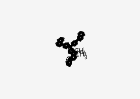 C[Si]1(C)c2cc(N(c3ccc(-c4ccc5ccccc5c4)cc3)c3ccc(-c4cccc5ccccc45)cc3)ccc2-c2c1ccc1c2oc2ccccc21